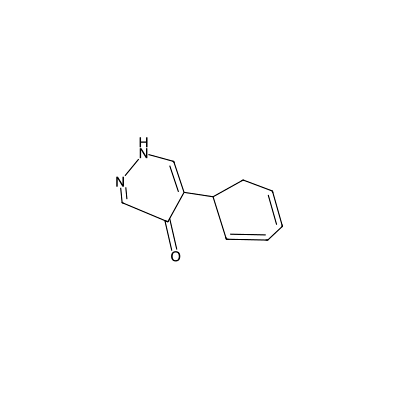 O=c1cn[nH]cc1C1C=CC=CC1